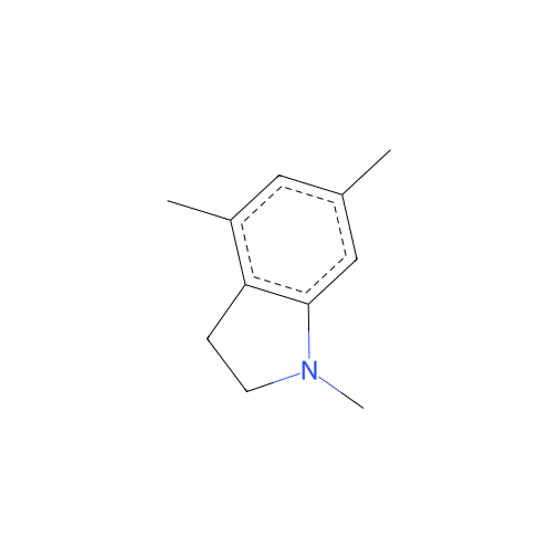 Cc1cc(C)c2c(c1)N(C)CC2